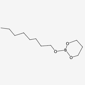 CCCCCCCCOB1OCCCO1